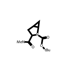 CNC(=O)C1CC2CC2N1C(=O)OC(C)(C)C